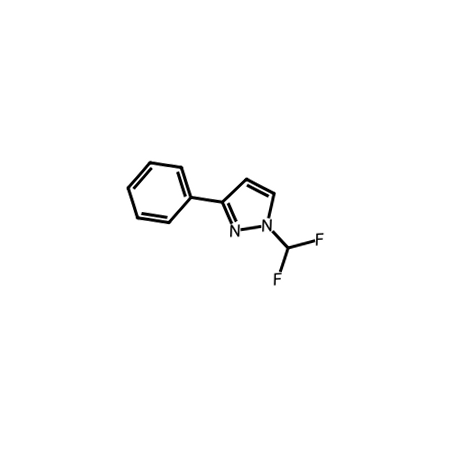 FC(F)n1ccc(-c2ccccc2)n1